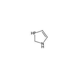 C1=CPCN1